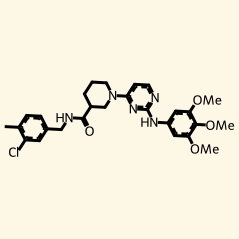 COc1cc(Nc2nccc(N3CCCC(C(=O)NCc4ccc(C)c(Cl)c4)C3)n2)cc(OC)c1OC